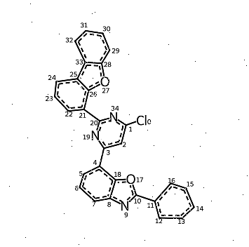 Clc1cc(-c2cccc3nc(-c4ccccc4)oc23)nc(-c2cccc3c2oc2ccccc23)n1